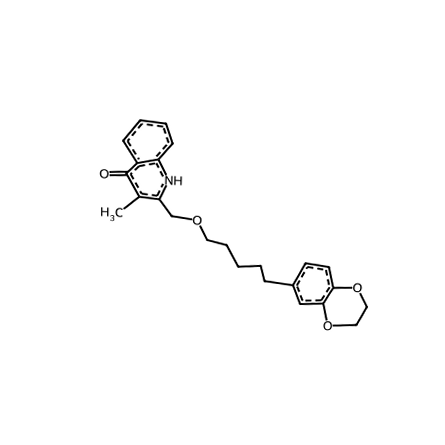 Cc1c(COCCCCCc2ccc3c(c2)OCCO3)[nH]c2ccccc2c1=O